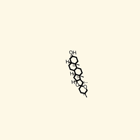 C[C@H]1CCC2(OC1)O[C@H]1C[C@H]3C4CC[C@@H]5C[C@@H](O)CC[C@]5(C)C4CC[C@]3(C)C1[C@@H]2C